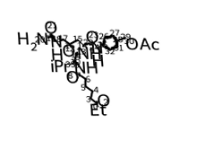 CCC(=O)CCCCC(=O)N[C@H](C(=O)N[C@@H](CCCNC(N)=O)C(=O)Nc1ccc(COC(C)=O)cc1)C(C)C